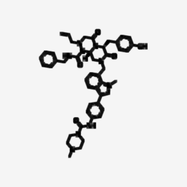 C=CCN1CC(=O)N2[C@@H](Cc3ccc(O)cc3)C(=O)N(Cc3cccc4c(-c5ccc(NC(=O)N6CCN(C)CC6)cc5)cn(C)c34)C[C@@H]2N1C(=O)NCc1ccccc1